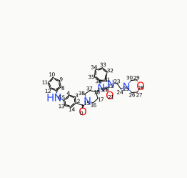 O=C(c1ccc(Nc2ccccc2)cc1)N1CCC(n2c(=O)n(CCN3CCOCC3)c3ccccc32)CC1